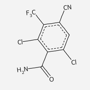 N#Cc1cc(Cl)c(C(N)=O)c(Cl)c1C(F)(F)F